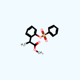 COC(=O)C(C)c1ccccc1OS(=O)(=O)c1ccccc1